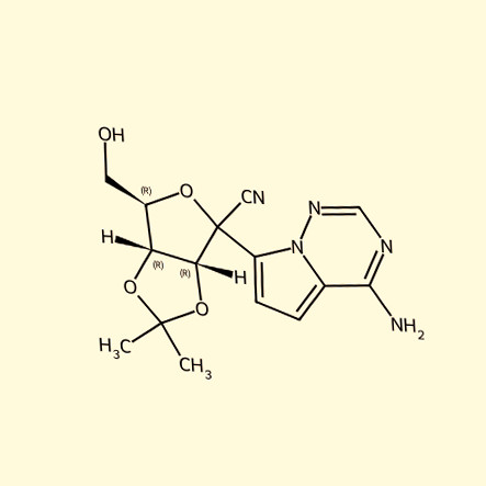 CC1(C)O[C@H]2[C@@H](O1)C(C#N)(c1ccc3c(N)ncnn13)O[C@@H]2CO